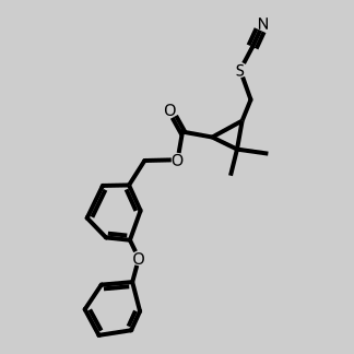 CC1(C)C(CSC#N)C1C(=O)OCc1cccc(Oc2ccccc2)c1